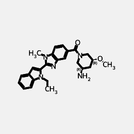 CCn1c(-c2nc3cc(C(=O)N4C[C@H](N)C[C@@H](OC)C4)ccc3n2C)cc2ccccc21